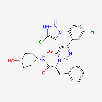 O=C(NC1CCC(O)CC1)[C@H](Cc1ccccc1)n1cnc(-c2cc(Cl)ccc2N2C=C(Cl)NN2)cc1=O